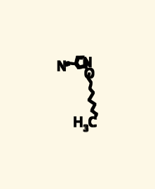 CCCCCCCCCOc1cc(C#N)ccn1